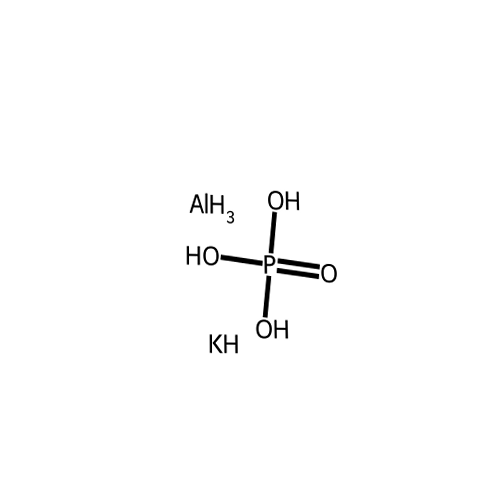 O=P(O)(O)O.[AlH3].[KH]